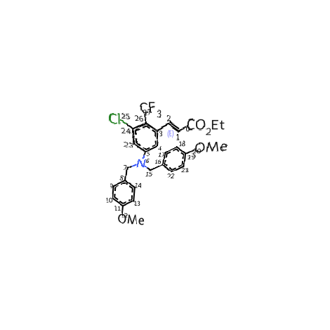 CCOC(=O)/C=C/c1cc(N(Cc2ccc(OC)cc2)Cc2ccc(OC)cc2)cc(Cl)c1C(F)(F)F